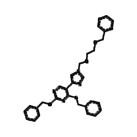 c1ccc(COCCOCn2cnc(-c3cnc(OCc4ccccc4)nc3OCc3ccccc3)c2)cc1